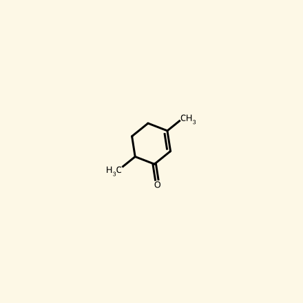 CC1=CC(=O)C(C)CC1